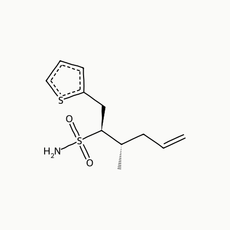 C=CC[C@H](C)[C@H](Cc1cccs1)S(N)(=O)=O